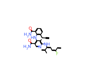 C#CCc1cccc(C(N)=O)c1Nc1c(C(N)=O)cnc(N/C(=C/C=C(/F)C=C)C(=C)C)c1C